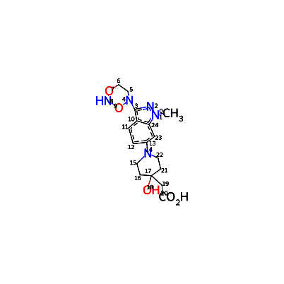 Cn1nc(N2CCONO2)c2ccc(N3CCC(O)(CC(=O)O)CC3)cc21